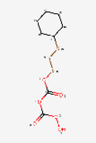 O=C(OO)OC(=O)OSSSC1CCCCC1